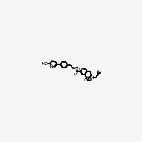 C[C@H]1C2Cc3ccc(C(=O)NCCc4ccc(-c5ccc(O)nc5)cc4)cc3[C@@]1(C)CCN2CC1CC1